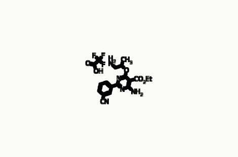 CCOC(=O)c1c(N)nc(-c2cccc(C#N)c2)nc1OC(C)CN.O=C(O)C(F)(F)F